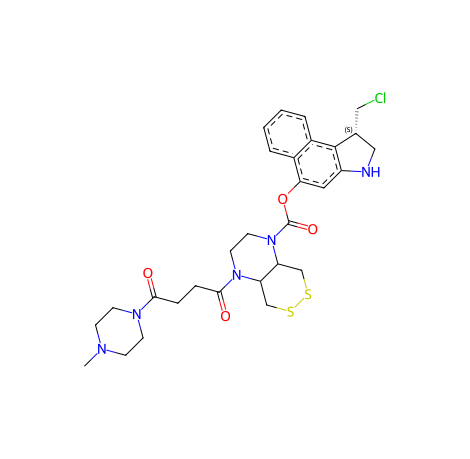 CN1CCN(C(=O)CCC(=O)N2CCN(C(=O)Oc3cc4c(c5ccccc35)[C@H](CCl)CN4)C3CSSCC32)CC1